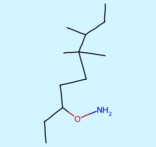 CCC(CCC(C)(C)C(C)CC)ON